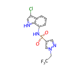 O=S(=O)(Nc1cccc2c(Cl)c[nH]c12)c1cnn(CC(F)(F)F)c1